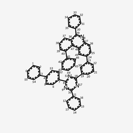 c1ccc(-c2ccc(-c3nc(-c4ccccc4)nc(-c4cccc(-c5ccc6nc(-c7ccccc7)c7cccc(-c8ccccc8)c7c6c5)c4)n3)cc2)cc1